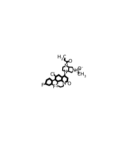 C=CC(=O)N1CCN(c2cc(=O)n3c4c(c(-c5ccc(F)cc5F)c(Cl)cc24)SCC3)C2CN([S+](C)[O-])CC21